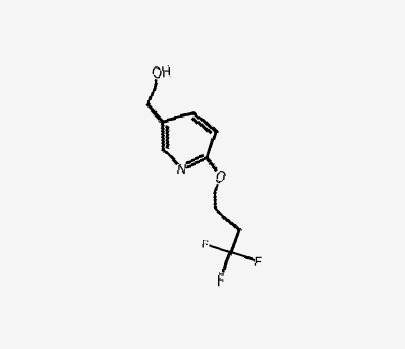 OCc1ccc(OCCC(F)(F)F)nc1